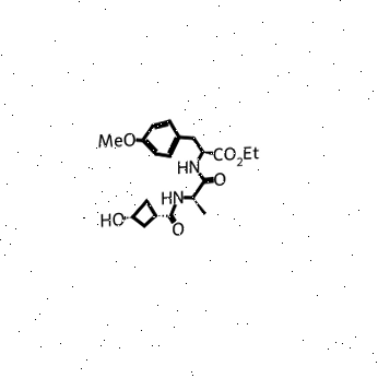 CCOC(=O)[C@H](Cc1ccc(OC)cc1)NC(=O)[C@@H](C)NC(=O)[C@H]1C[C@@H](O)C1